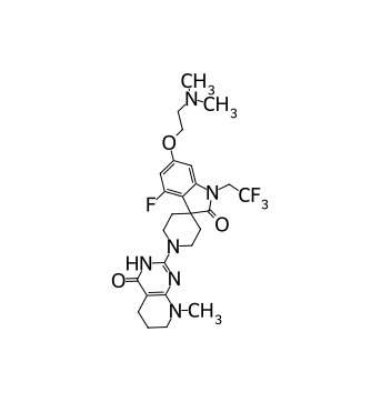 CN(C)CCOc1cc(F)c2c(c1)N(CC(F)(F)F)C(=O)C21CCN(c2nc3c(c(=O)[nH]2)CCCN3C)CC1